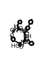 O=C1COc2ccc(cc2)C[C@@H](C(=O)O)NC(=O)[C@@H](CCc2ccccc2)NC(=O)[C@H](Cc2ccc(-c3ccccc3)cc2)NC(=O)[C@@H](CCc2ccccc2)N1